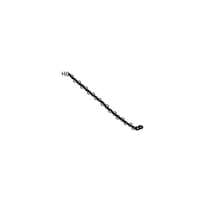 OCCOCCOCCOCCOCCOCCOCCOCCOCCOCCOCCOCCOCCOCCOCCOCCOCCOCCOc1ccc2ccccc2c1